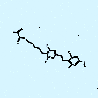 C=C(C)C(=O)OCCCCCc1c(F)cc(CCc2c(F)cc(OC)cc2F)cc1F